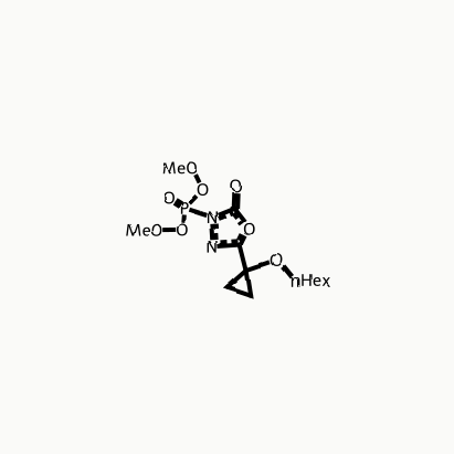 CCCCCCOC1(c2nn(P(=O)(OOC)OOC)c(=O)o2)CC1